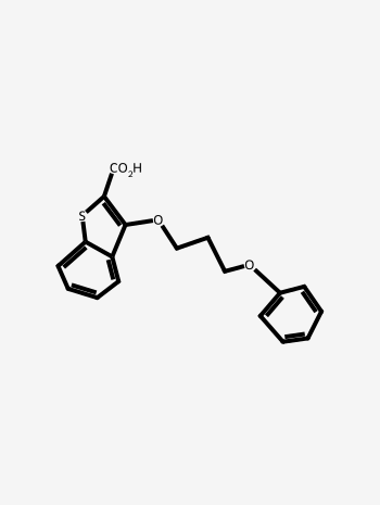 O=C(O)c1sc2ccccc2c1OCCCOc1ccccc1